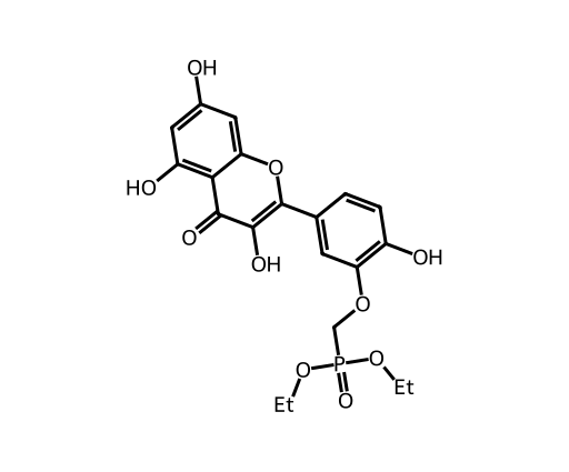 CCOP(=O)(COc1cc(-c2oc3cc(O)cc(O)c3c(=O)c2O)ccc1O)OCC